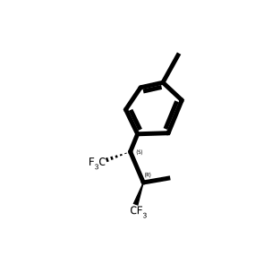 Cc1ccc([C@H]([C@@H](C)C(F)(F)F)C(F)(F)F)cc1